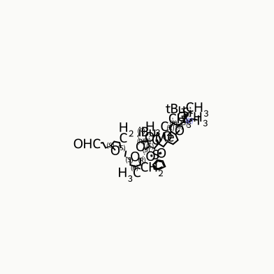 C=C1C[C@H](CCC=O)O[C@H]1CC[C@H]1C[C@@H](C)C(=C)[C@@H](C[C@@H]2O[C@H](C[C@H](C)CC)[C@H](OC)[C@H]2C(C(=O)CC2CCC3O[C@@H]([C@H](/C=C/I)O[Si](C)(C)C(C)(C)C)[C@@H](C)[C@@H](C)C3O2)S(=O)(=O)c2ccccc2)O1